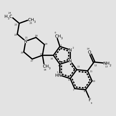 Cc1nn2c([nH]c3cc(F)cc(C(N)=O)c32)c1C1(C)CCN(CC(C)C)CC1